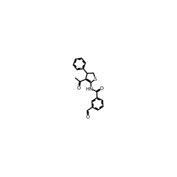 CC(=O)C1=C(NC(=O)c2cccc(C=O)c2)SCC1c1ccccc1